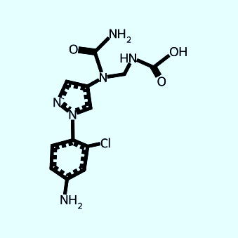 NC(=O)N(CNC(=O)O)c1cnn(-c2ccc(N)cc2Cl)c1